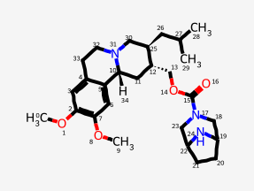 COc1cc2c(cc1OC)[C@H]1C[C@@H](COC(=O)N3CC4CCC(C3)N4)[C@H](CC(C)C)CN1CC2